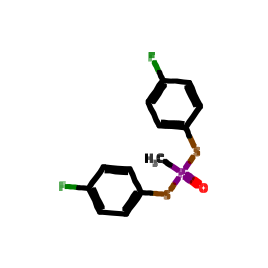 CP(=O)(Sc1ccc(F)cc1)Sc1ccc(F)cc1